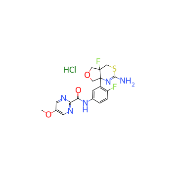 COc1cnc(C(=O)Nc2ccc(F)c(C34COCC3(F)CSC(N)=N4)c2)nc1.Cl